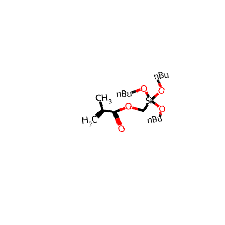 C=C(C)C(=O)OC[Si](OCCCC)(OCCCC)OCCCC